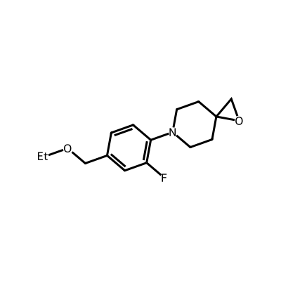 CCOCc1ccc(N2CCC3(CC2)CO3)c(F)c1